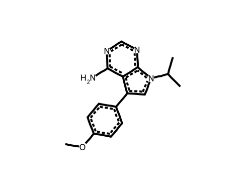 COc1ccc(-c2cn(C(C)C)c3ncnc(N)c23)cc1